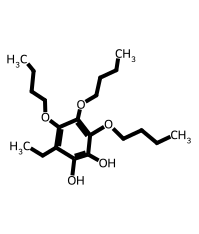 CCCCOc1c(O)c(O)c(CC)c(OCCCC)c1OCCCC